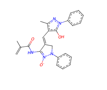 C=C(C)C(=O)NC1=[N+]([O-])N(c2ccccc2)CC1=Cc1c(C)nn(-c2ccccc2)c1O